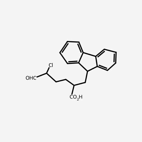 O=CC(Cl)CCC(CC1c2ccccc2-c2ccccc21)C(=O)O